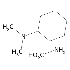 CN(C)C1CCCCC1.NC(=O)O